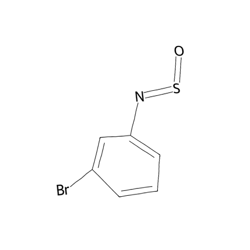 O=S=Nc1cccc(Br)c1